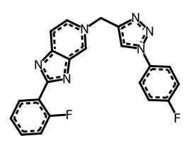 Fc1ccc(-n2cc(Cn3ccc4nc(-c5ccccc5F)nc-4c3)nn2)cc1